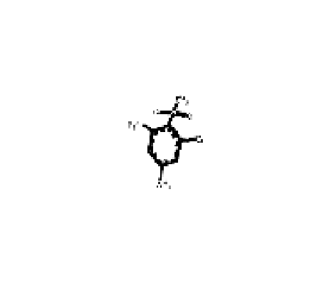 CS(=O)(=O)c1c(Cl)cc(N)cc1C(F)(F)F